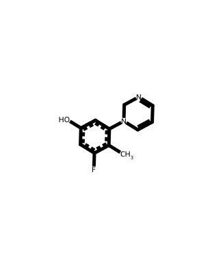 Cc1c(F)cc(O)cc1N1C=CC=NC1